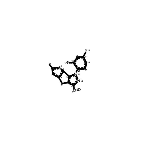 Cc1cc2c(s1)-c1c(c(C=O)nn1-c1ccc(F)cc1F)C2